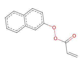 C=CC(=O)OOc1ccc2ccccc2c1